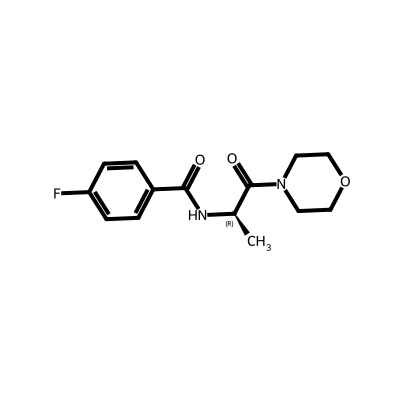 C[C@@H](NC(=O)c1ccc(F)cc1)C(=O)N1CCOCC1